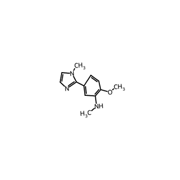 CNc1cc(-c2nccn2C)ccc1OC